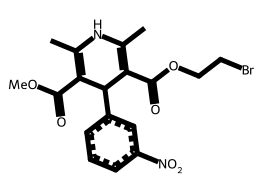 COC(=O)C1=C(C)NC(C)=C(C(=O)OCCBr)C1c1cccc([N+](=O)[O-])c1